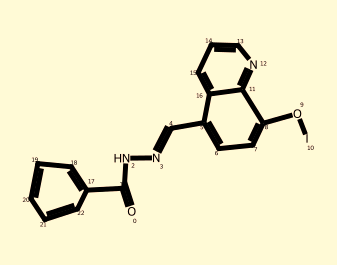 O=C(N/N=C/c1ccc(OI)c2ncccc12)c1ccccc1